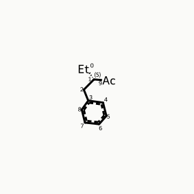 CC[C@@H](Cc1ccccc1)C(C)=O